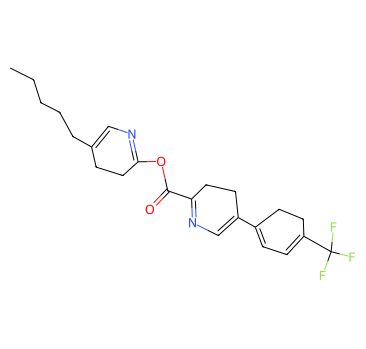 CCCCCC1=CN=C(OC(=O)C2=NC=C(C3=CC=C(C(F)(F)F)CC3)CC2)CC1